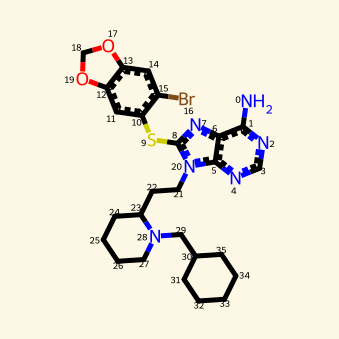 Nc1ncnc2c1nc(Sc1cc3c(cc1Br)OCO3)n2CCC1CCCCN1CC1CCCCC1